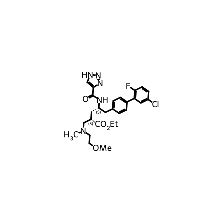 CCOC(=O)[C@@H](C[C@@H](Cc1ccc(-c2cc(Cl)ccc2F)cc1)NC(=O)c1c[nH]nn1)CN(C)CCOC